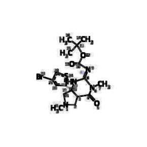 CN1CC2C(=O)N(C)/C(=N/C(=O)OC(C)(C)C)N[C@]2(c2cc(Br)cs2)C1